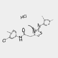 Cc1ccc(N=c2scc(CC(=O)Nc3ccc(C)c(Cl)c3)n2C)c(C)c1.Cl